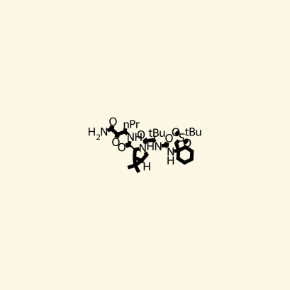 CCCC(NC(=O)[C@@H]1C2[C@H](CN1C(=O)[C@@H](NC(=O)NC1(CS(=O)(=O)C(C)(C)C)CCCCC1)C(C)(C)C)C2(C)C)C(=O)C(N)=O